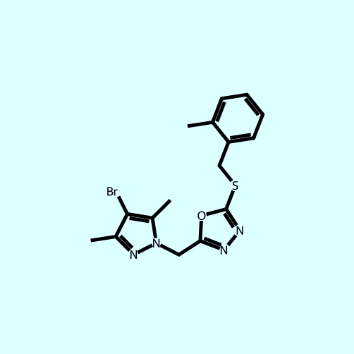 Cc1ccccc1CSc1nnc(Cn2nc(C)c(Br)c2C)o1